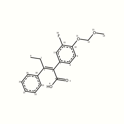 CC/C(=C(/C(=O)O)c1ccc(OCOC)c(F)c1)c1ccccc1